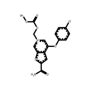 CC(C)OC(=O)OC[n+]1cc(Oc2ccc(Cl)cc2)c2cc(C(N)=O)sc2c1